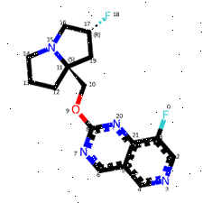 Fc1cncc2cnc(OC[C@@]34CCCN3C[C@H](F)C4)nc12